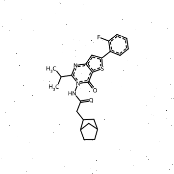 CC(C)c1nc2cc(-c3ccccc3F)sc2c(=O)n1NC(=O)CC1CC2CCC1C2